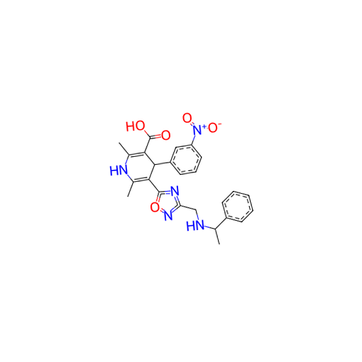 CC1=C(C(=O)O)C(c2cccc([N+](=O)[O-])c2)C(c2nc(CNC(C)c3ccccc3)no2)=C(C)N1